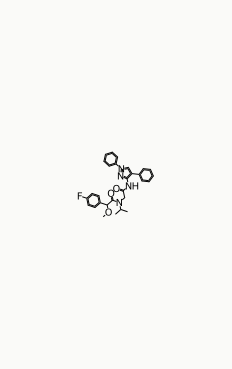 COC(C(=O)N(CC(=O)Nc1nn(-c2ccccc2)cc1-c1ccccc1)C(C)C)c1ccc(F)cc1